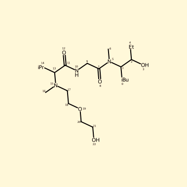 CCC(C)C(C(O)CC)N(C)C(=O)CNC(=O)C(C(C)C)N(C)CCOCCO